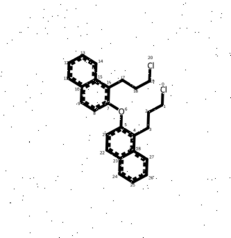 ClCCCc1c(Oc2ccc3ccccc3c2CCCCl)ccc2ccccc12